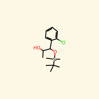 CC(O)C(O[Si](C)(C)C(C)(C)C)c1ccccc1Cl